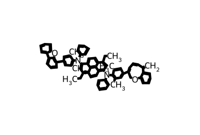 C=C1/C=C\C=C(\c2cc(C)c(N(c3ccccc3)c3cc(CC)c4ccc5c(N(c6ccccc6)c6c(C)cc(-c7cccc8c7oc7ccccc78)cc6C)cc(CC)c6ccc3c4c65)c(C)c2)COc2ccccc21